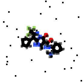 Cc1[nH]c2c(-c3ccccc3)c(C(F)(F)F)nn2c(=O)c1C(=O)Nc1ccccc1N(C)C